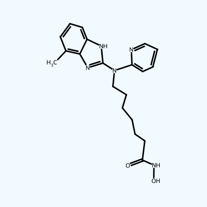 Cc1cccc2[nH]c(N(CCCCCCC(=O)NO)c3ccccn3)nc12